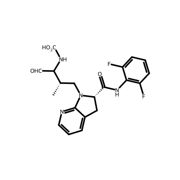 C[C@@H](CN1c2ncccc2C[C@H]1C(=O)Nc1c(F)cccc1F)C(C=O)NC(=O)O